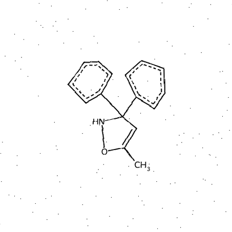 CC1=CC(c2ccccc2)(c2ccccc2)NO1